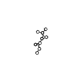 C1=CC2c3cc(C4=Cc5c(n(C6=CC=C7SC8=C(C=CCC8)C7C6)c6ccccc56)CC4)ccc3N(c3cc(C4=CCCC=N4)cc(C4CC=CCC4)c3)C2C=C1